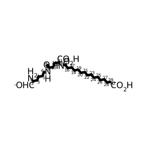 N[C@H]([C]=O)CCCCNC(=O)CC[C@H](NC(=O)CCCCCCCCCCCCCCC(=O)O)C(=O)O